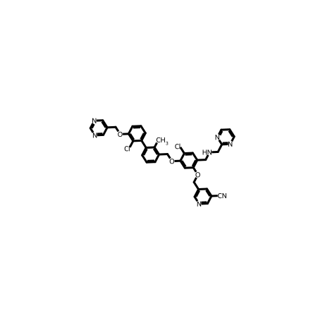 Cc1c(COc2cc(OCc3cncc(C#N)c3)c(CNCc3ncccn3)cc2Cl)cccc1-c1cccc(OCc2cncnc2)c1Cl